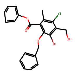 Cc1c(Cl)c(CO)c(Br)c(OCc2ccccc2)c1C(=O)Oc1ccccc1